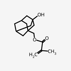 C=C(C)C(=O)OCC12CC3CC(CC(O)(C3)C1)C2